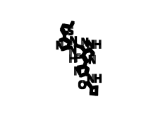 Cc1ccc(-c2cncc3[nH]c(-c4n[nH]c5cnc(-c6cncc(NC(=O)C7CCC7)c6)c(F)c45)nc23)s1